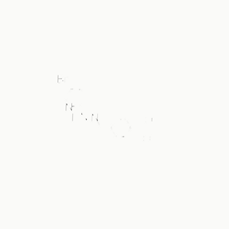 CCOC(OCC)c1ccc(C=NNc2ccc(Br)cn2)cc1